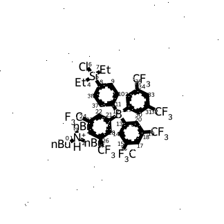 CCCC[NH+](CCCC)CCCC.CC[Si](Cl)(CC)c1ccc([B-](c2cc(C(F)(F)F)cc(C(F)(F)F)c2)(c2cc(C(F)(F)F)cc(C(F)(F)F)c2)c2cc(C(F)(F)F)cc(C(F)(F)F)c2)cc1